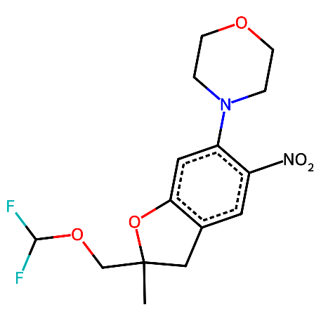 CC1(COC(F)F)Cc2cc([N+](=O)[O-])c(N3CCOCC3)cc2O1